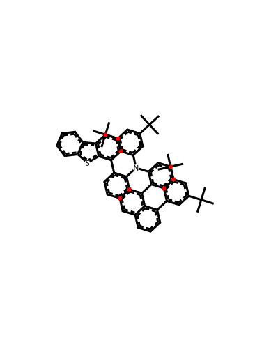 CC(C)(C)c1cc(-c2cccc3cccc(-c4ccccc4N(c4cc(C(C)(C)C)cc(C(C)(C)C)c4)c4ccccc4-c4cccc5c4sc4ccccc45)c23)cc(C(C)(C)C)c1